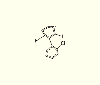 Fc1cc[c]c(I)c1-c1ccccc1Cl